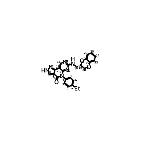 CCc1ccc(-n2c(=O)c3c[nH]nc3c3cnc(NC[C@H]4COc5ccccc5O4)nc32)cc1